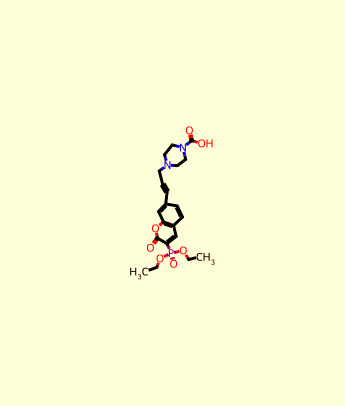 CCOP(=O)(OCC)c1cc2ccc(C#CCN3CCN(C(=O)O)CC3)cc2oc1=O